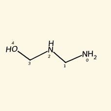 NCNCO